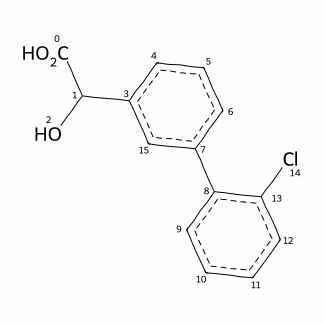 O=C(O)C(O)c1cccc(-c2ccccc2Cl)c1